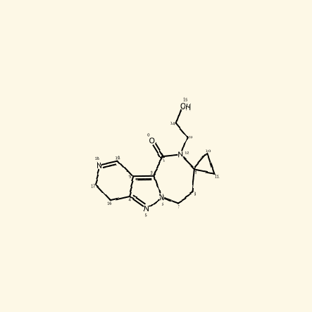 O=C1c2c3c(nn2CCC2(CC2)N1CCO)CCN=C3